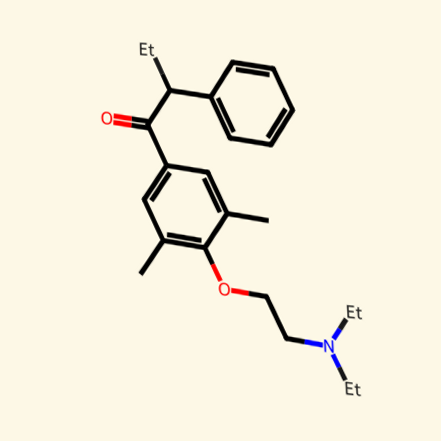 CCC(C(=O)c1cc(C)c(OCCN(CC)CC)c(C)c1)c1ccccc1